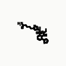 CCC(=O)Nc1c(-c2cccs2)cccc1S(=O)(=O)Nn1cnc(CCCCC(N)=O)c1